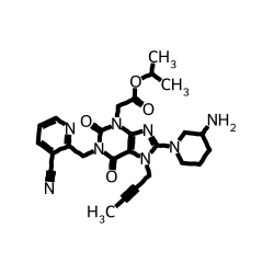 CC#CCn1c(N2CCCC(N)C2)nc2c1c(=O)n(Cc1ncccc1C#N)c(=O)n2CC(=O)OC(C)C